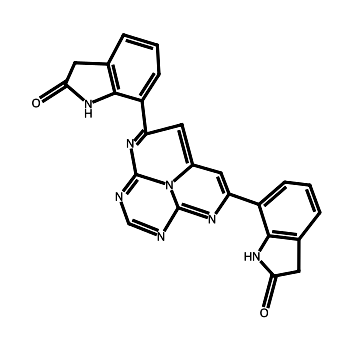 O=C1Cc2cccc(C3=CC4=CC(c5cccc6c5NC(=O)C6)=NC5=NC=NC(=N3)N45)c2N1